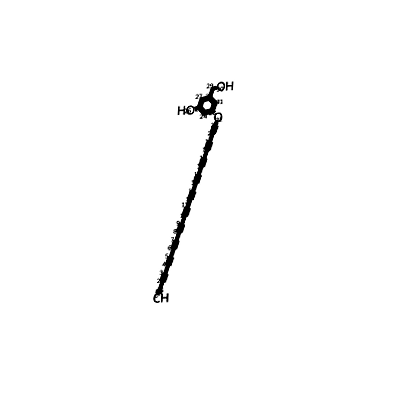 C#CC#CC#CC#CC#CC#CC#CC#CC#CC#CC#COc1cc(O)cc(CO)c1